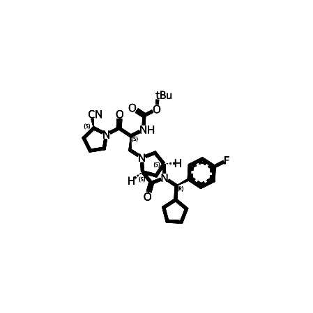 CC(C)(C)OC(=O)N[C@@H](CN1C[C@@H]2C[C@H]1C(=O)N2[C@@H](c1ccc(F)cc1)C1CCCC1)C(=O)N1CCC[C@H]1C#N